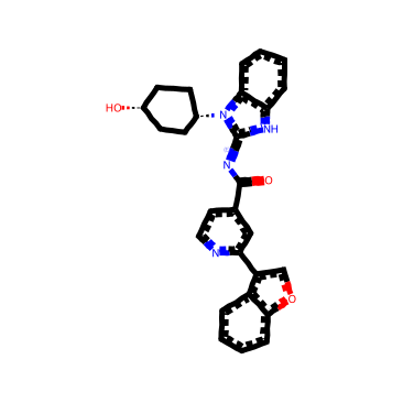 O=C(/N=c1\[nH]c2ccccc2n1[C@H]1CC[C@@H](O)CC1)c1ccnc(-c2coc3ccccc23)c1